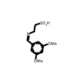 COc1cc(/C=N\CCS(=O)(=O)O)cc(OC)c1